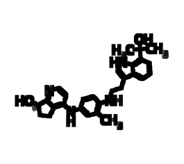 Cc1cc(Nc2ccnc3c2CC[C@H]3O)ccc1NCCc1c[nH]c2c(C(C)(C)O)cccc12